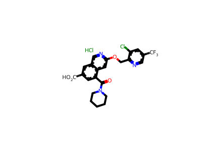 Cl.O=C(O)c1cc(C(=O)N2CCCCC2)c2cc(OCc3ncc(C(F)(F)F)cc3Cl)ncc2c1